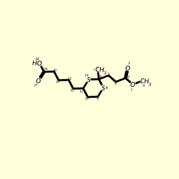 COC(=O)CCC1(C)SCCC(CCCCC(=O)O)S1